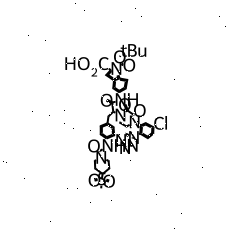 CC(C)(C)OC(=O)n1c(C(=O)O)cc2cc(NC(=O)C(Cc3ccc(NC(=O)N4CCC(S(C)(=O)=O)CC4)cc3)N3CCN(c4cc(Cl)ccc4-n4cnnn4)C(=O)C3=O)ccc21